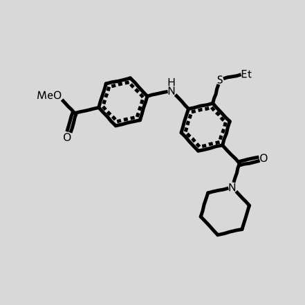 CCSc1cc(C(=O)N2CCCCC2)ccc1Nc1ccc(C(=O)OC)cc1